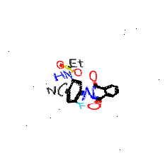 CCS(=O)(=O)Nc1cc(N2C(=O)c3ccccc3C2=O)c(F)cc1C#N